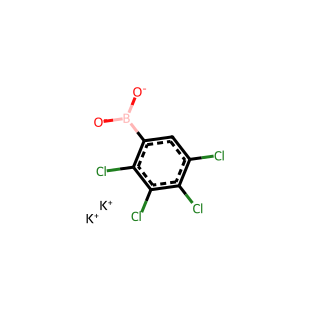 [K+].[K+].[O-]B([O-])c1cc(Cl)c(Cl)c(Cl)c1Cl